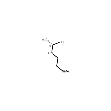 CNCCN[C@H](C)S